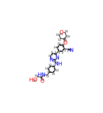 N#Cc1cc(-c2ccnc(Nc3ccc(CNC(=O)CO)cc3)n2)ccc1OC1CCOCC1